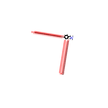 C[N+](C)(C)Cc1ccccc1.O.O.O.O.O.O.O.O.O.O.O.O.O.O.O.O.O.O.O.O.O.O.O.O.O.O.O.O.O.O.O.O.O.O.O.O.O.O.O.O.O.O.O.O.O.O.O.O.O.[OH-]